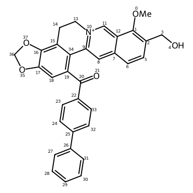 COc1c(CO)ccc2cc3[n+](cc12)CCc1c2c(cc(C(=O)c4ccc(-c5ccccc5)cc4)c1-3)OCO2